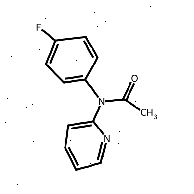 CC(=O)N(c1ccc(F)cc1)c1ccccn1